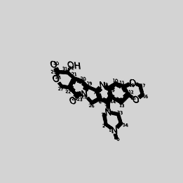 CN1CCN(c2c3c(nc4cc5c(cc24)OCCO5)-c2cc4c(c(=O)n2C3)COC(=O)[C@H]4O)CC1